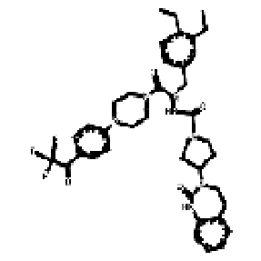 CCc1ccc(C[C@@H](NC(=O)N2CCC(N3CCc4ccccc4NC3=O)CC2)C(=O)N2CCN(c3ccc(C(=O)C(F)(F)F)cc3)CC2)cc1CC